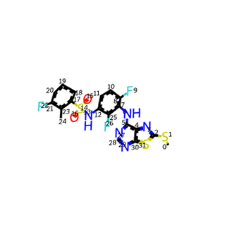 CSc1nc2c(Nc3c(F)ccc(NS(=O)(=O)c4cccc(F)c4C)c3F)ncnc2s1